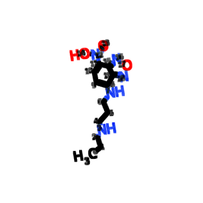 CCCNCCCNc1ccc([N+](=O)O)c2nonc12